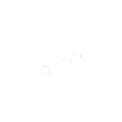 O=C1CCCN1C(=O)NCCn1ccnc1